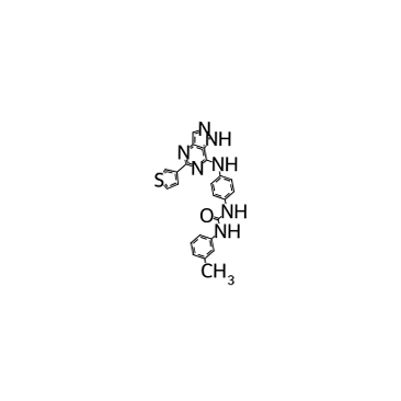 Cc1cccc(NC(=O)Nc2ccc(Nc3nc(-c4ccsc4)nc4cn[nH]c34)cc2)c1